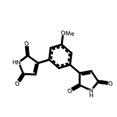 COc1cc(C2=CC(=O)NC2=O)cc(C2=CC(=O)NC2=O)c1